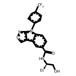 CC[C@H](CO)NC(=O)c1ccc2c(c1)c1csnc1n2-c1ccc(C(F)(F)F)cc1